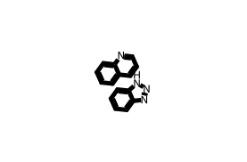 c1ccc2[nH]nnc2c1.c1ccc2ncccc2c1